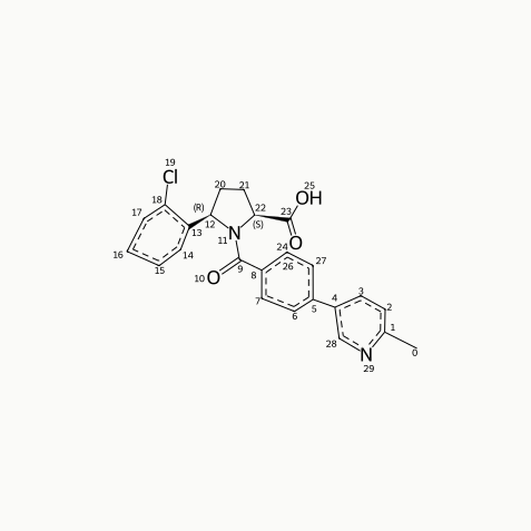 Cc1ccc(-c2ccc(C(=O)N3[C@@H](c4ccccc4Cl)CC[C@H]3C(=O)O)cc2)cn1